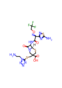 NCCn1nnnc1SCC1(C(=O)O)CS[C@@H]2C(NC(=O)C(=NOCC(F)(F)F)c3nsc(N)n3)C(=O)N2C1